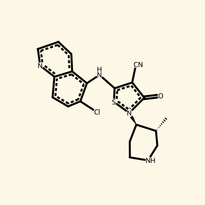 C[C@@H]1CNCC[C@H]1n1sc(Nc2c(Cl)ccc3ncccc23)c(C#N)c1=O